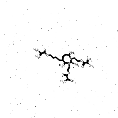 C=C(C)C(=O)OCCCCC1CCC(N)N(CCOC(=O)C(=C)C)C(N)N(CCOC(=O)C(=C)C)C1N